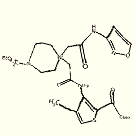 CCOC(=O)N1CC[N+](CC(=O)Nc2ccon2)(CC(=O)Nc2c(C)csc2C(=O)OC)CC1